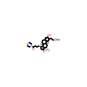 COCCc1cc2c(cc1O)CC[C@H]1[C@@H]3[C@H](CCCC(=O)N4CCOCC4)CC(=O)[C@@]3(C)CC[C@H]21